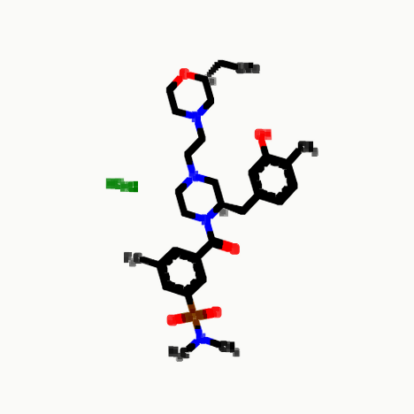 COC[C@@H]1CN(CCN2CCN(C(=O)c3cc(C(F)(F)F)cc(S(=O)(=O)N(C)C)c3)[C@H](Cc3ccc(C)c(O)c3)C2)CCO1.Cl.Cl